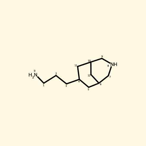 NCCCC1CC2CNCC(C1)C2